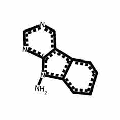 Nn1c2ccccc2c2cncnc21